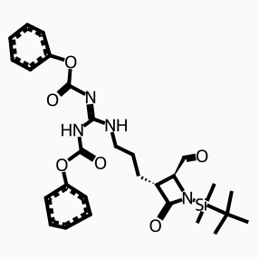 CC(C)(C)[Si](C)(C)N1C(=O)[C@H](CCCNC(=NC(=O)Oc2ccccc2)NC(=O)Oc2ccccc2)[C@H]1C=O